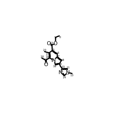 CCOC(=O)c1cc2cc(-c3cn(C)cn3)cn2c(C(C)=O)c1C